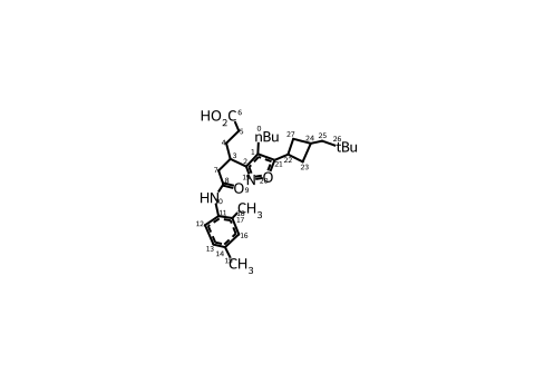 CCCCc1c(C(CCC(=O)O)CC(=O)Nc2ccc(C)cc2C)noc1C1CC(CC(C)(C)C)C1